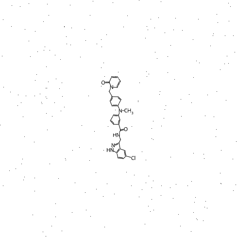 CN(c1ccc(Cn2ccccc2=O)cc1)c1cccc(C(=O)NCc2n[nH]c3ccc(Cl)cc23)c1